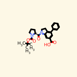 CC(C)(C)OC(=O)N1CCC[C@H]1C(=O)N1CCc2c(-c3ccccc3)cc(C(=O)O)cc21